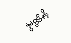 c1ccc(-n2c3ccsc3c3sc(-c4ccc5c6c4c4ccccc4n6c4ccc(-c6cc7c(s6)c6sccc6n7-c6ccccc6)c6c7ccccc7n5c64)cc32)cc1